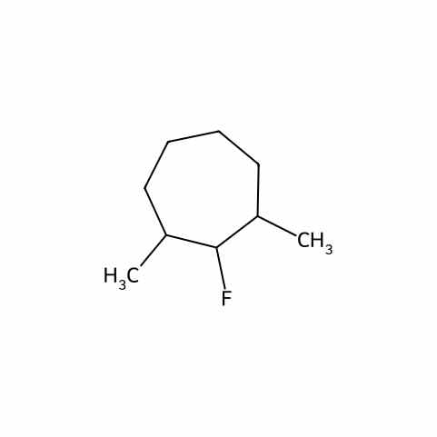 CC1CCCCC(C)C1F